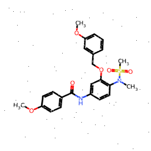 COc1ccc(C(=O)Nc2ccc(N(C)S(C)(=O)=O)c(OCc3cccc(OC)c3)c2)cc1